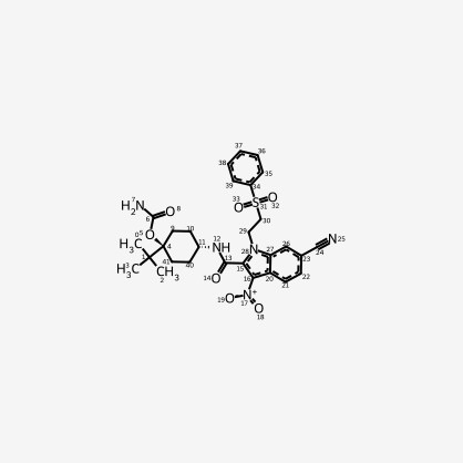 CC(C)(C)[C@]1(OC(N)=O)CC[C@H](NC(=O)c2c([N+](=O)[O-])c3ccc(C#N)cc3n2CCS(=O)(=O)c2ccccc2)CC1